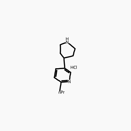 CCCc1ccc(C2CCNCC2)cn1.Cl